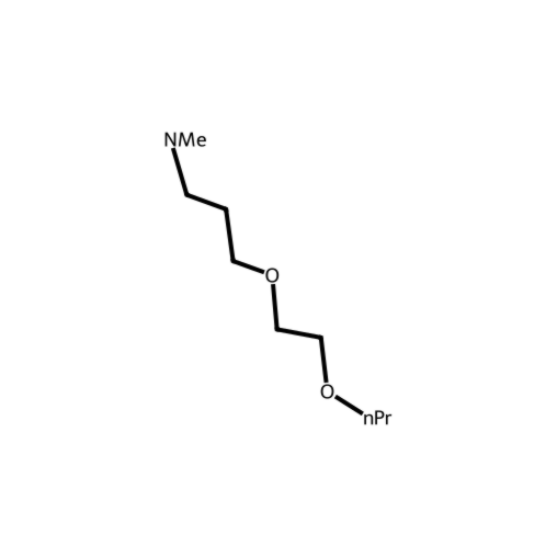 CCCOCCOCCCNC